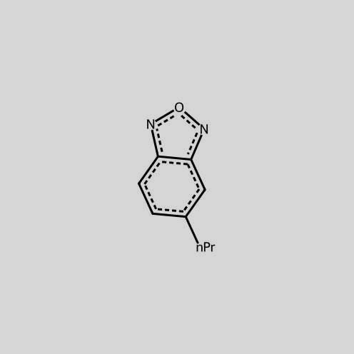 [CH2]CCc1ccc2nonc2c1